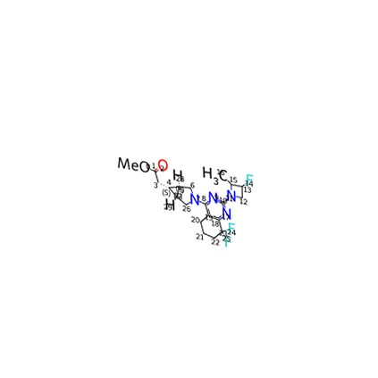 COC(=O)C[C@@H]1[C@H]2CN(c3nc(N4CC(F)C4C)nc4c3CCCC4(F)F)C[C@@H]12